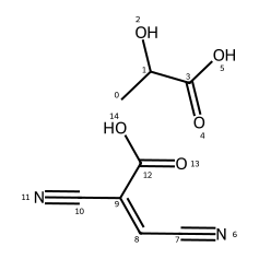 CC(O)C(=O)O.N#CC=C(C#N)C(=O)O